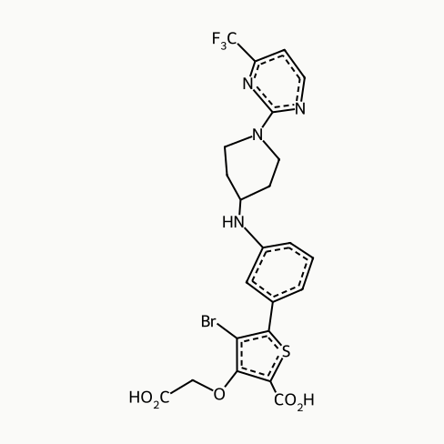 O=C(O)COc1c(C(=O)O)sc(-c2cccc(NC3CCN(c4nccc(C(F)(F)F)n4)CC3)c2)c1Br